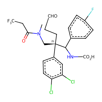 CN(C[C@](CCC=O)(c1ccc(Cl)c(Cl)c1)C(NC(=O)O)c1ccc(F)cc1)C(=O)CC(F)(F)F